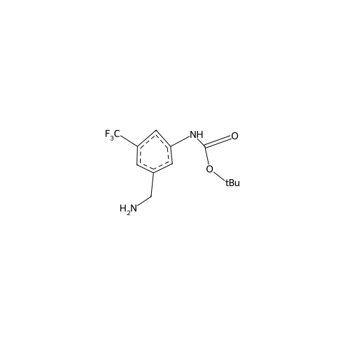 CC(C)(C)OC(=O)Nc1cc(CN)cc(C(F)(F)F)c1